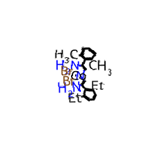 CCc1cccc(CC)c1C(N)C[N](CC(N)c1c(C)cccc1C)[Co]([Br])[Br]